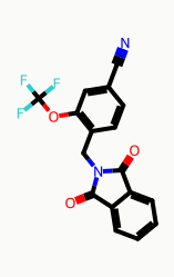 N#Cc1ccc(CN2C(=O)c3ccccc3C2=O)c(OC(F)(F)F)c1